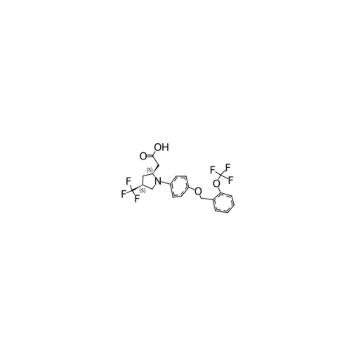 O=C(O)C[C@@H]1C[C@H](C(F)(F)F)CN1c1ccc(OCc2ccccc2OC(F)(F)F)cc1